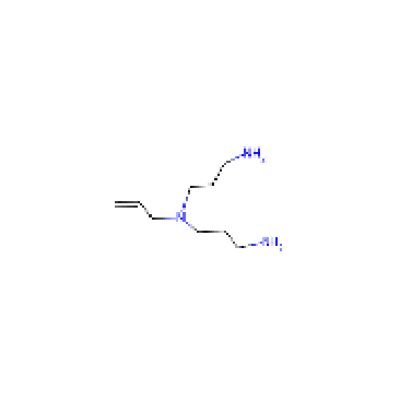 C=CCN(CCCN)CCCN